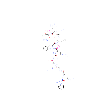 CCNC(=O)C(NC(=O)[C@H](CCN)NC(=O)[C@H](CCN)NC(=O)[C@H](CC(C)C)NC(=O)[C@@H](Cc1ccccc1)NC(=O)[C@H](CCN)NC(=O)CNC(=O)[C@H](CCN)NC(=O)CNC(=O)[C@H](CCN)NC(=O)Nc1ccccc1Cl)C(C)O